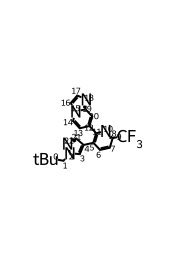 CC(C)(C)Cn1cc(-c2ccc(C(F)(F)F)nc2-c2ccn3ccnc3c2)cn1